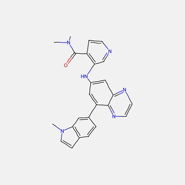 CN(C)C(=O)c1ccncc1Nc1cc(-c2ccc3ccn(C)c3c2)c2nccnc2c1